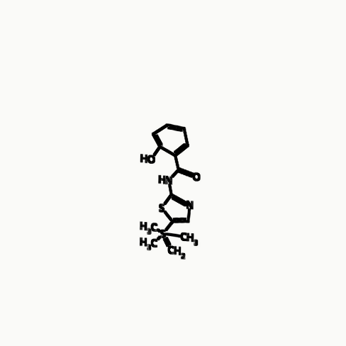 C=S(C)(C)(C)c1cnc(NC(=O)c2ccccc2O)s1